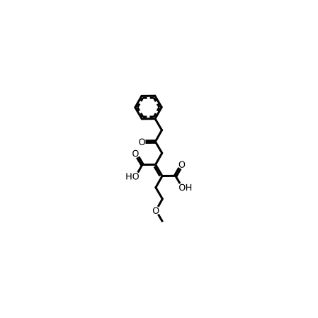 COCC/C(C(=O)O)=C(/CC(=O)Cc1ccccc1)C(=O)O